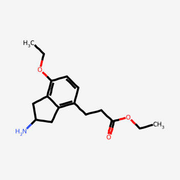 CCOC(=O)CCc1ccc(OCC)c2c1CC(N)C2